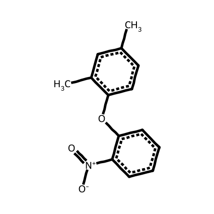 Cc1ccc(Oc2ccccc2[N+](=O)[O-])c(C)c1